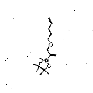 C=CCCCOCC(=C)B1OC(C)(C)C(C)(C)O1